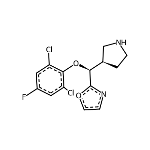 Fc1cc(Cl)c(O[C@H](c2ncco2)[C@@H]2CCNC2)c(Cl)c1